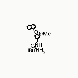 CC[C@H](C)[C@H](N)C(=O)NCCc1ccc(OCc2cccc3ccccc23)c(OC)c1